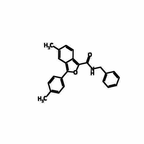 Cc1ccc(-c2oc(C(=O)NCc3ccccc3)c3ccc(C)cc23)cc1